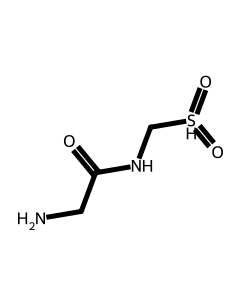 NCC(=O)NC[SH](=O)=O